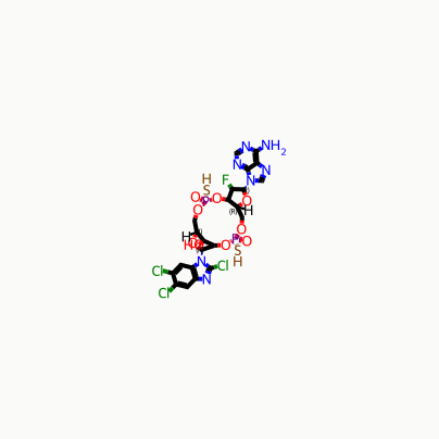 Nc1ncnc2c1ncn2[C@@H]1O[C@@H]2COP(=O)(S)OC3C(O)[C@@H](COP(=O)(S)OC2C1F)O[C@H]3n1c(Cl)nc2cc(Cl)c(Cl)cc21